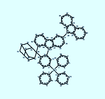 c1ccc([Si](c2ccccc2)(c2cccnc2)c2ccc3c(c2)-n2c4ccc(-n5c6ccccc6c6ccccc65)cc4c4cccc(c42)C32C3CC4CC(C3)CC2C4)cc1